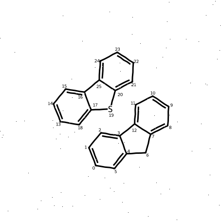 c1ccc2c(c1)Cc1ccccc1-2.c1ccc2c(c1)sc1ccccc12